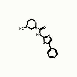 N#CN1CCO[C@@H](C(=O)Nc2ncc(-c3ccccc3)s2)C1